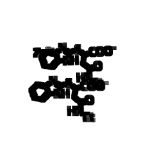 CCNC(=O)CC(Sc1nc2ccccc2[nH]1)C(=O)[O-].CCNC(=O)CC(Sc1nc2ccccc2[nH]1)C(=O)[O-].[Zn+2]